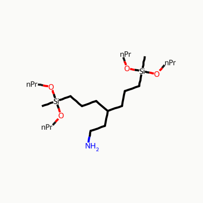 CCCO[Si](C)(CCCC(CCN)CCC[Si](C)(OCCC)OCCC)OCCC